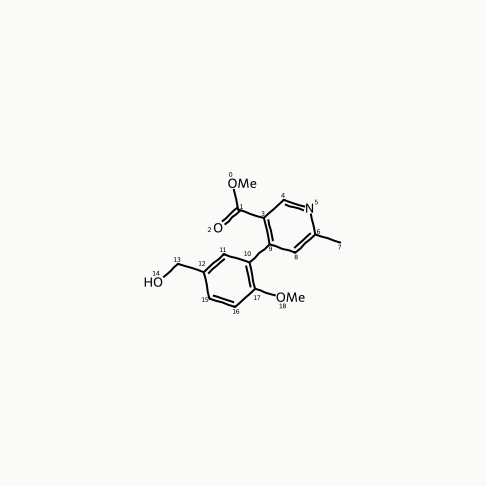 COC(=O)c1cnc(C)cc1-c1cc(CO)ccc1OC